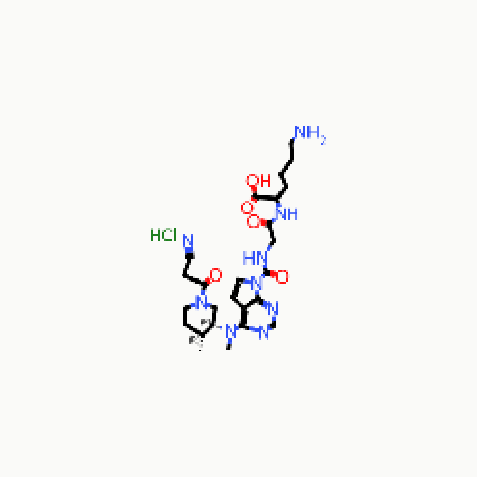 C[C@@H]1CCN(C(=O)CC#N)C[C@@H]1N(C)c1ncnc2c1ccn2C(=O)NCC(=O)NC(CCCCN)C(=O)O.Cl